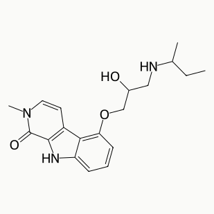 CCC(C)NCC(O)COc1cccc2[nH]c3c(=O)n(C)ccc3c12